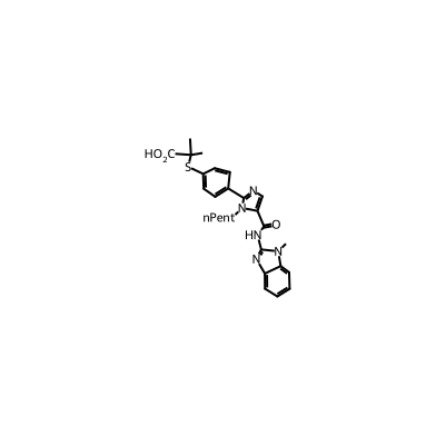 CCCCCn1c(C(=O)Nc2nc3ccccc3n2C)cnc1-c1ccc(SC(C)(C)C(=O)O)cc1